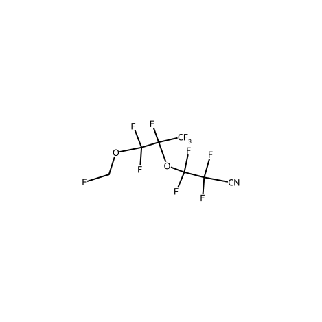 N#CC(F)(F)C(F)(F)OC(F)(C(F)(F)F)C(F)(F)OCF